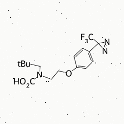 CC(C)(C)CN(CCOc1ccc(C2(C(F)(F)F)N=N2)cc1)C(=O)O